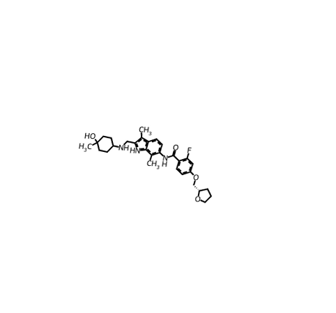 Cc1c(CNC2CCC(C)(O)CC2)[nH]c2c(C)c(NC(=O)c3ccc(OC[C@@H]4CCCO4)cc3F)ccc12